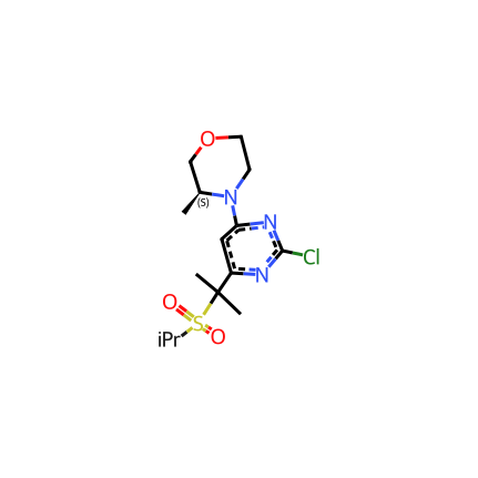 CC(C)S(=O)(=O)C(C)(C)c1cc(N2CCOC[C@@H]2C)nc(Cl)n1